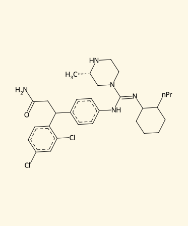 CCCC1CCCCC1/N=C(\Nc1ccc(C(CC(N)=O)c2ccc(Cl)cc2Cl)cc1)N1CCN[C@@H](C)C1